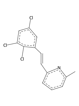 Cc1cccc(C=Cc2cc(Cl)cc(Cl)c2Cl)n1